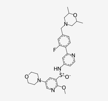 COc1ncc(N2CCOCC2)cc1[S+]([O-])Nc1ccnc(-c2ccc(CN3CC(C)OC(C)C3)cc2F)c1